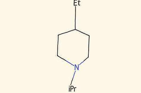 [CH2]CC1CCN(C(C)C)CC1